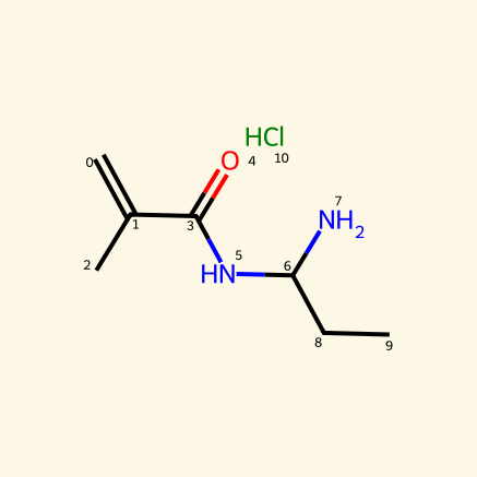 C=C(C)C(=O)NC(N)CC.Cl